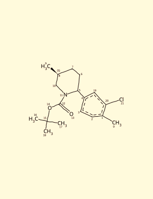 Cc1ccc(C2CC[C@H](C)CN2C(=O)OC(C)(C)C)cc1Cl